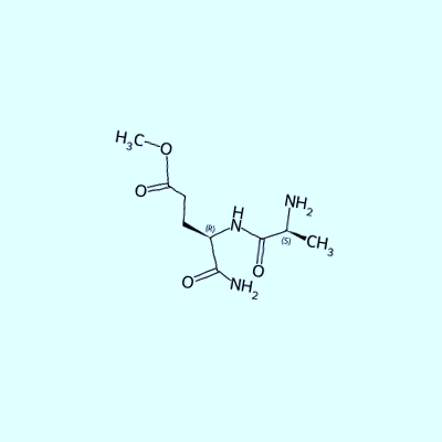 COC(=O)CC[C@@H](NC(=O)[C@H](C)N)C(N)=O